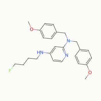 COc1ccc(CN(Cc2ccc(OC)cc2)c2cc(NCCCCF)ccn2)cc1